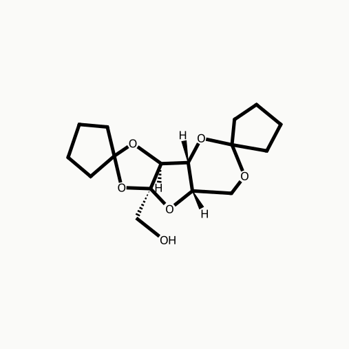 OC[C@@]12O[C@H]3COC4(CCCC4)O[C@H]3[C@@H]1OC1(CCCC1)O2